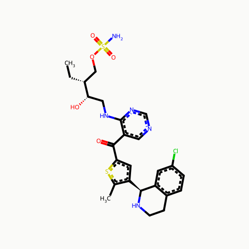 CC[C@H](COS(N)(=O)=O)[C@@H](O)CNc1ncncc1C(=O)c1cc([C@@H]2NCCc3ccc(Cl)cc32)c(C)s1